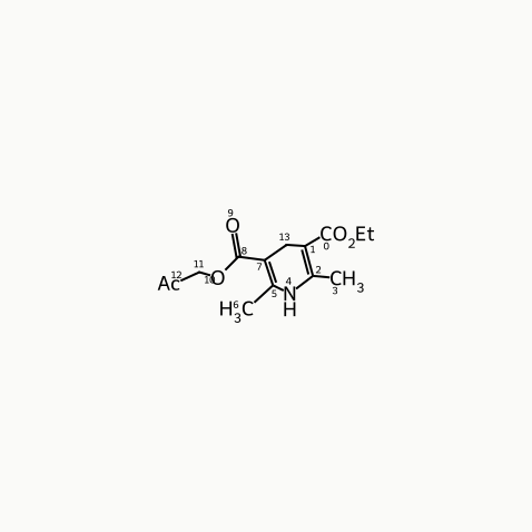 CCOC(=O)C1=C(C)NC(C)=C(C(=O)OCC(C)=O)C1